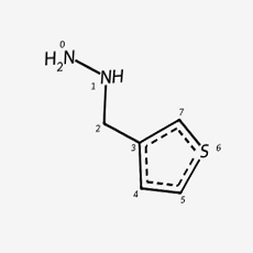 NNCc1ccsc1